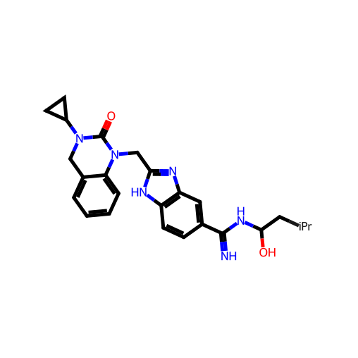 CC(C)CC(O)NC(=N)c1ccc2[nH]c(CN3C(=O)N(C4CC4)Cc4ccccc43)nc2c1